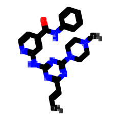 C/C=C/c1nc(Nc2cc(C(=O)Nc3ccccc3)ccn2)nc(N2CCN(C)CC2)n1